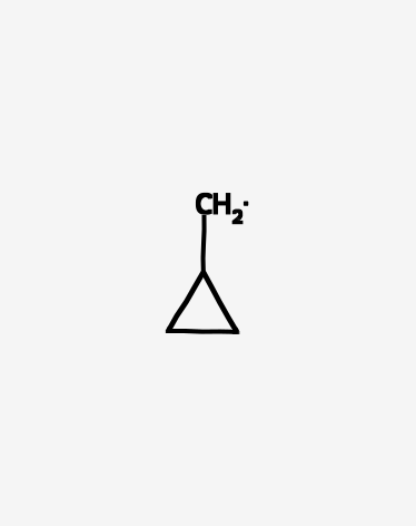 [CH2]C1CC1